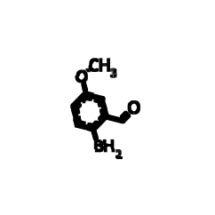 Bc1ccc(OC)cc1C=O